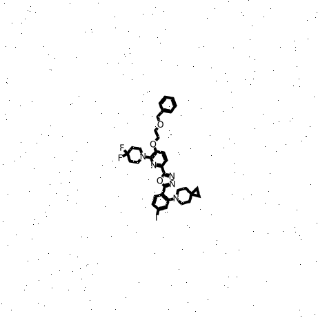 FC1(F)CCN(c2nc(-c3nnc(-c4ccc(I)cc4N4CCC5(CC4)CC5)o3)ccc2OCCOCc2ccccc2)CC1